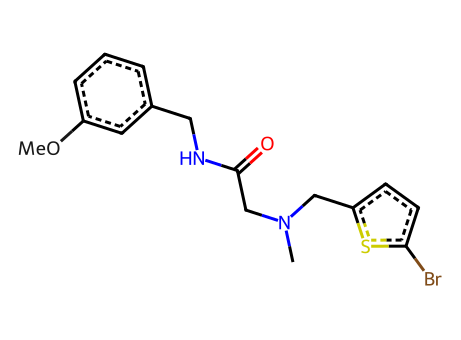 COc1cccc(CNC(=O)CN(C)Cc2ccc(Br)s2)c1